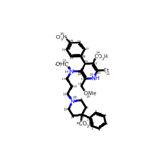 CCOC(=O)C1(c2ccccc2)CCN(CCCN(C=O)C2=C(COC)NC(CC)=C(C(=O)O)C2c2ccc([N+](=O)[O-])cc2)CC1